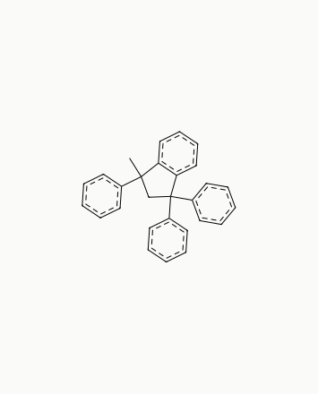 CC1(c2ccccc2)CC(c2ccccc2)(c2ccccc2)c2ccccc21